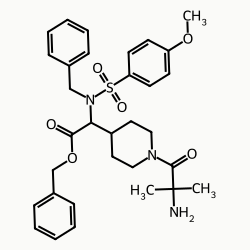 COc1ccc(S(=O)(=O)N(Cc2ccccc2)C(C(=O)OCc2ccccc2)C2CCN(C(=O)C(C)(C)N)CC2)cc1